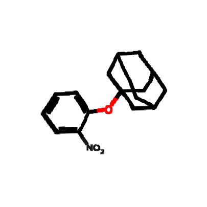 O=[N+]([O-])c1ccccc1OC12CC3CC(CC(C3)C1)C2